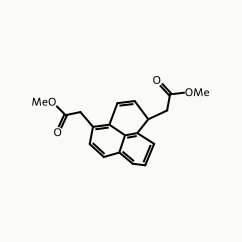 COC(=O)Cc1ccc2cccc3c2c1C=CC3CC(=O)OC